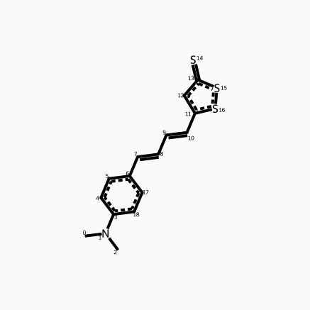 CN(C)c1ccc(/C=C/C=C/c2cc(=S)ss2)cc1